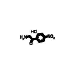 Cl.NCC(=O)c1ccc([N+](=O)[O-])cc1